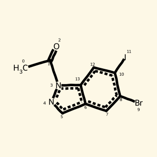 CC(=O)n1ncc2cc(Br)c(I)cc21